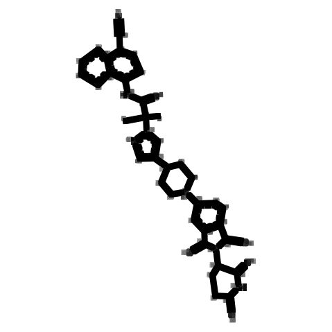 CC(C)(C(=O)Nc1ccc(C#N)c2ccccc12)n1cc(C2CCN(c3ccc4c(c3)C(=O)N(C3CCC(=O)NC3=O)C4=O)CC2)cn1